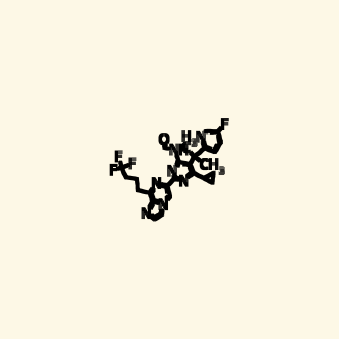 CC(C)(c1ccc(F)cn1)c1c(NC=O)nc(-c2cn3ccnc3c(CCCC(F)(F)F)n2)nc1C1CC1